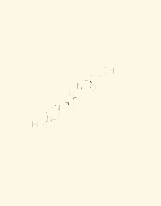 CCOC(=O)CN1CCN(C(=O)CN2CCN(C)CC2)CC1